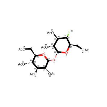 CC(=O)OC[C@H]1O[C@H](O[C@H]2O[C@H](COC(C)=O)[C@@H](OC(C)=O)[C@H](OC(C)=O)[C@H]2OC(C)=O)[C@H](OC(C)=O)[C@@H](OC(C)=O)[C@H]1F